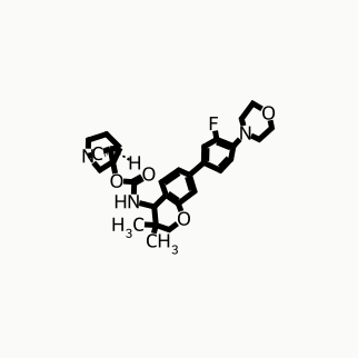 CC1(C)COc2cc(-c3ccc(N4CCOCC4)c(F)c3)ccc2C1NC(=O)O[C@H]1CN2CCC1CC2